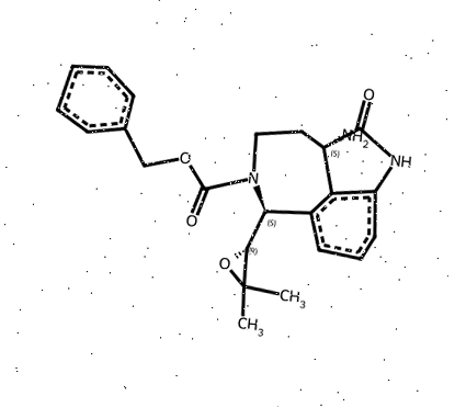 CC1(C)O[C@@H]1[C@@H]1c2cccc3c2[C@@](N)(CCN1C(=O)OCc1ccccc1)C(=O)N3